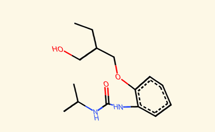 CCC(CO)COc1ccccc1NC(=O)NC(C)C